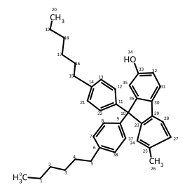 CCCCCCc1ccc(C2(c3ccc(CCCCCC)cc3)c3cc(C)ccc3-c3ccc(O)cc32)cc1